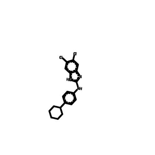 Clc1cc2nc(Nc3ccc(C4CCCCC4)cc3)[nH]c2cc1Cl